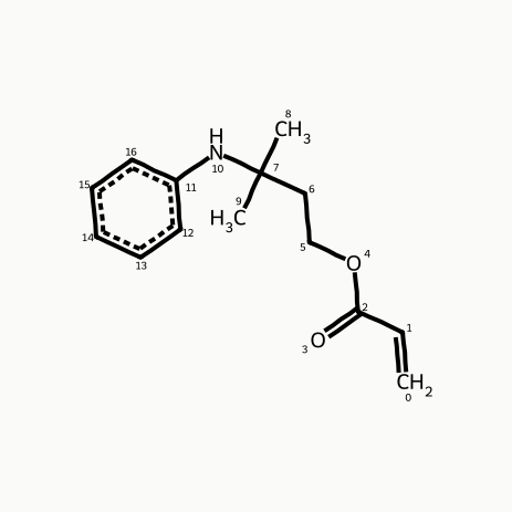 C=CC(=O)OCCC(C)(C)Nc1ccccc1